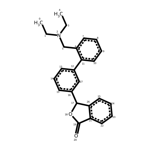 CCN(CC)Cc1ccccc1-c1cccc(C2OC(=O)c3ccccc32)c1